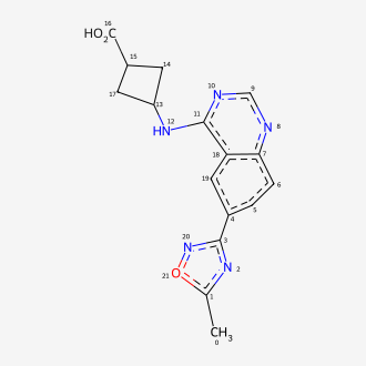 Cc1nc(-c2ccc3ncnc(NC4CC(C(=O)O)C4)c3c2)no1